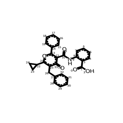 O=C(O)c1ccccc1NC(=O)c1c(-c2ccccc2)oc(C2CC2)c(Cc2ccccc2)c1=O